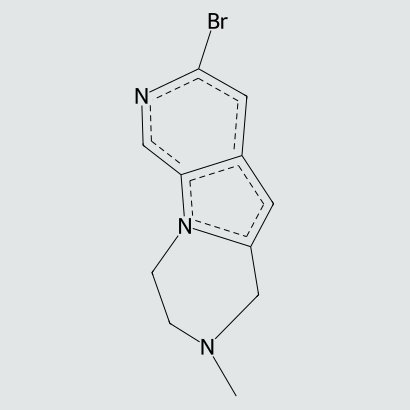 CN1CCn2c(cc3cc(Br)ncc32)C1